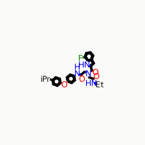 CCNC(=O)CN(CC(=O)Nc1ccc(Oc2ccc(C(C)C)cc2)cc1)C(=O)c1cc2cccc(F)c2[nH]1